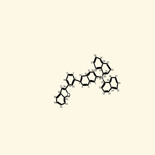 c1cc(-c2ccc3cc(N(c4cccc5ccccc45)c4cccc5ccccc45)ccc3c2)cc(-c2cc3ccccc3o2)c1